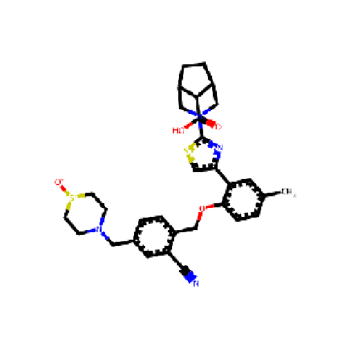 Cc1ccc(OCc2ccc(CN3CC[S+]([O-])CC3)cc2C#N)c(-c2csc(N3CC4CCC(C3)C4C(=O)O)n2)c1